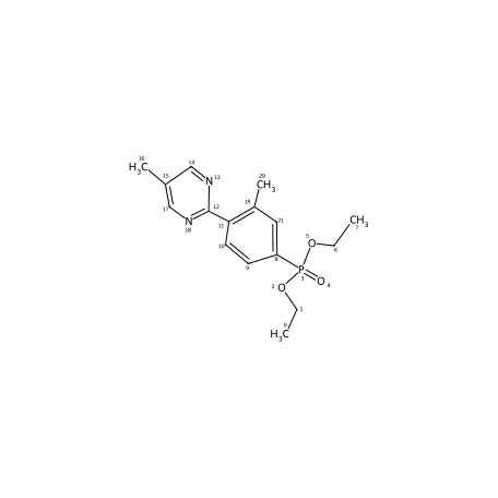 CCOP(=O)(OCC)c1ccc(-c2ncc(C)cn2)c(C)c1